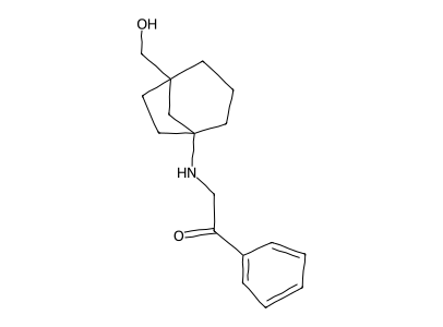 O=C(CNC12CCCC(CO)(CC1)C2)c1ccccc1